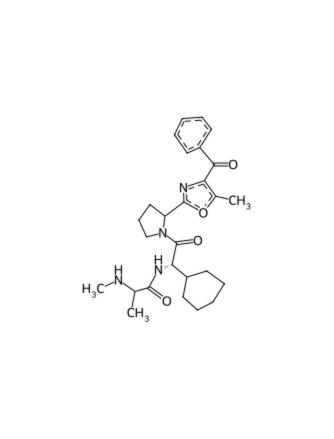 CNC(C)C(=O)N[C@H](C(=O)N1CCCC1c1nc(C(=O)c2ccccc2)c(C)o1)C1CCCCC1